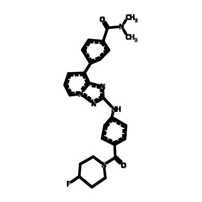 CN(C)C(=O)c1ccc(-c2cccn3nc(Nc4ccc(C(=O)N5CCC(F)CC5)cc4)nc23)cc1